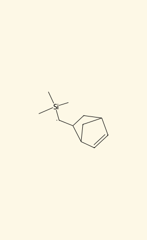 C[Si](C)(C)[CH]C1CC2C=CC1C2